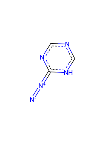 [N-]=[N+]=c1ncnc[nH]1